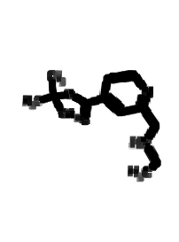 CCNCc1cc(C(=O)OC(C)(C)C)ccn1